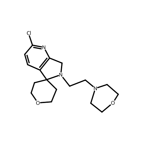 Clc1ccc2c(n1)CN(CCN1CCOCC1)C21CCOCC1